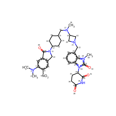 CN(C)c1cc2c(cc1[N+](=O)[O-])CN(C1CCC(CN(C)C3CN(Cc4cccc5c4n(C)c(=O)n5C4CCC(=O)NC4=O)C3)CC1)C2=O